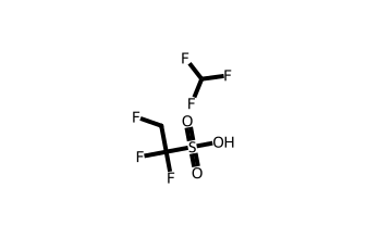 FC(F)F.O=S(=O)(O)C(F)(F)CF